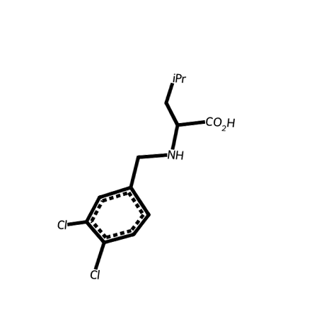 CC(C)CC(NCc1ccc(Cl)c(Cl)c1)C(=O)O